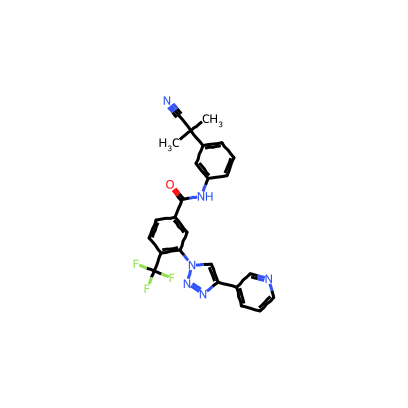 CC(C)(C#N)c1cccc(NC(=O)c2ccc(C(F)(F)F)c(-n3cc(-c4cccnc4)nn3)c2)c1